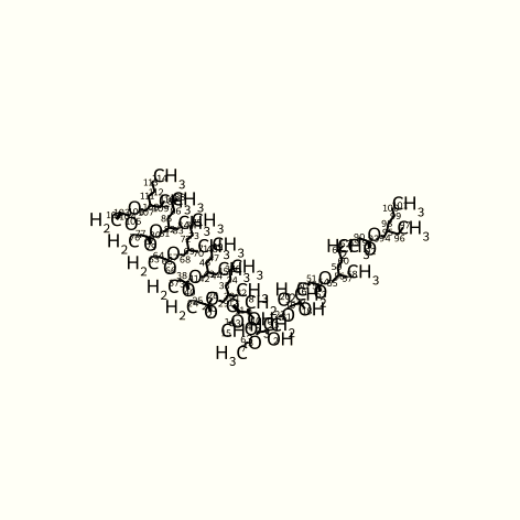 C=C(O)C(=O)OCC.C=C(O)C(=O)OCC.C=C(O)C(=O)OCC.C=CC(=O)OCC(CC)CCCC.C=CC(=O)OCC(CC)CCCC.C=CC(=O)OCC(CC)CCCC.C=CC(=O)OCC(CC)CCCC.C=CC(=O)OCC(CC)CCCC.C=CC(=O)OCC(CC)CCCC.C=CC(=O)OCC(CC)CCCC